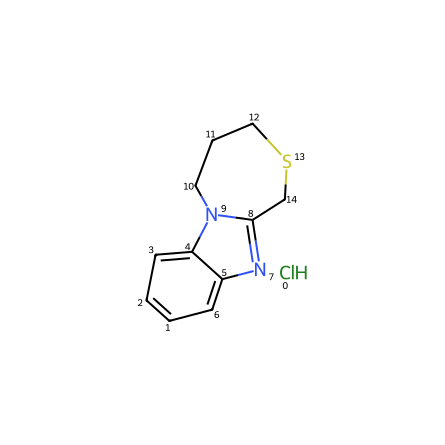 Cl.c1ccc2c(c1)nc1n2CCCSC1